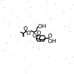 C=C(C)C(=O)OCC1OC2(OC1CO)C1CC3CC2CC(C(=O)O)(C3)C1